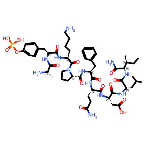 CC[C@H](C)[C@H](NC(=O)[C@H](CC(C)C)NC(=O)[C@H](CC(=O)O)NC(=O)[C@H](CCC(N)=O)NC(=O)[C@H](Cc1ccccc1)NC(=O)[C@@H]1CCCN1C(=O)[C@H](CCCCN)NC(=O)[C@H](Cc1ccc(OP(=O)(O)O)cc1)NC(=O)[C@H](C)N)C(N)=O